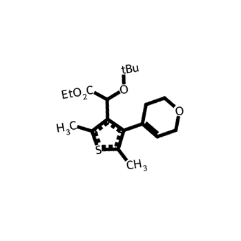 CCOC(=O)C(OC(C)(C)C)c1c(C)sc(C)c1C1=CCOCC1